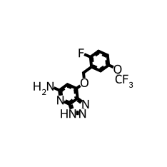 Nc1cc(OCc2cc(OC(F)(F)F)ccc2F)c2nn[nH]c2n1